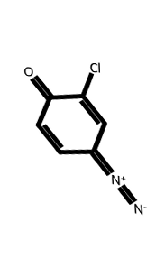 [N-]=[N+]=C1C=CC(=O)C(Cl)=C1